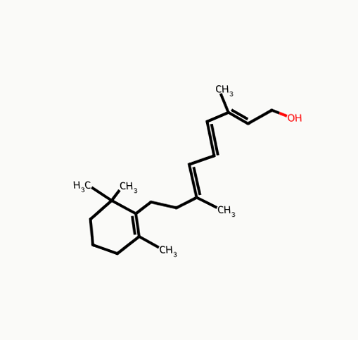 CC(C=CC=C(C)CCC1=C(C)CCCC1(C)C)=CCO